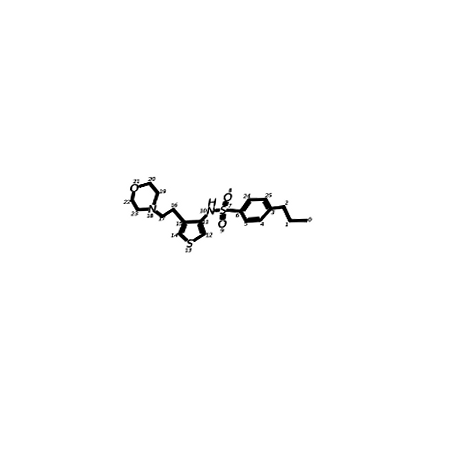 CCCc1ccc(S(=O)(=O)Nc2cscc2CCN2CCOCC2)cc1